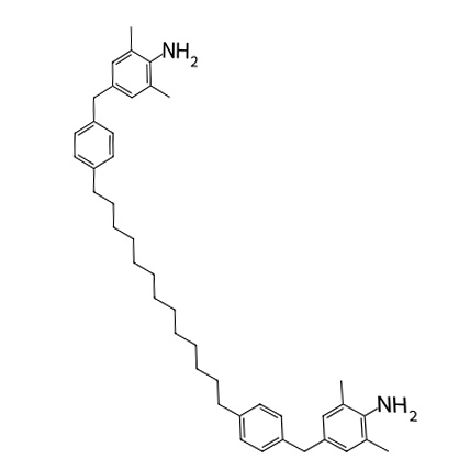 Cc1cc(Cc2ccc(CCCCCCCCCCCCCc3ccc(Cc4cc(C)c(N)c(C)c4)cc3)cc2)cc(C)c1N